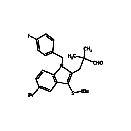 CC(C)c1ccc2c(c1)c(SC(C)(C)C)c(CC(C)(C)C=O)n2Cc1ccc(F)cc1